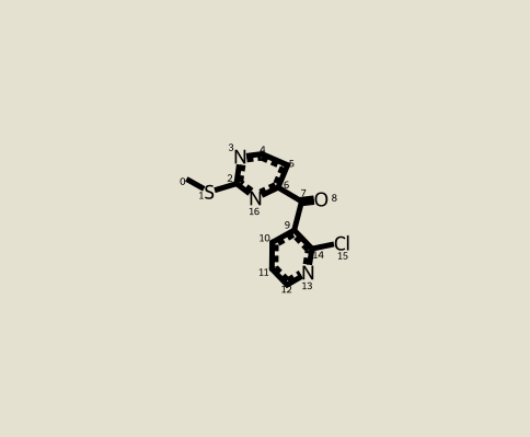 CSc1nccc(C(=O)c2cccnc2Cl)n1